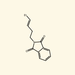 CCC=CCCN1C(=O)c2ccccc2C1=O